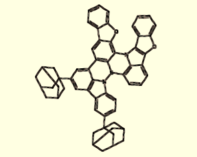 c1ccc2c(c1)oc1c3c4c(cc12)-c1cc(C25CC6CC(CC(C6)C2)C5)cc2c5cc(C67CC8CC(CC(C8)C6)C7)ccc5n(c12)B4c1cccc2c4oc5ccccc5c4n-3c12